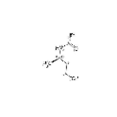 CC(C)C(=O)N[C@H](C)CCO